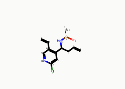 C=CCC(N[S@@+]([O-])C(C)(C)C)c1cc(Cl)ncc1C=C